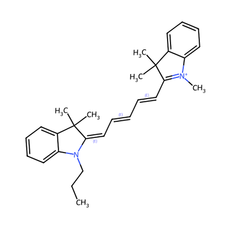 CCCN1/C(=C/C=C/C=C/C2=[N+](C)c3ccccc3C2(C)C)C(C)(C)c2ccccc21